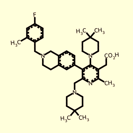 Cc1cc(F)ccc1CN1CCc2cc(-c3c(CN4CCC(C)(C)CC4)nc(C)c(CC(=O)O)c3N3CCC(C)(C)CC3)ccc2C1